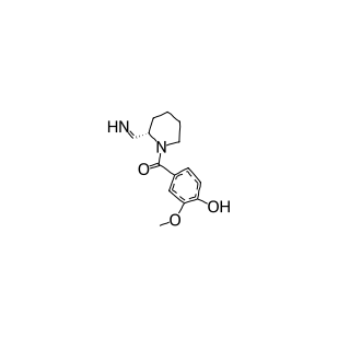 COc1cc(C(=O)N2CCCC[C@H]2C=N)ccc1O